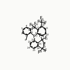 Cc1ccccc1P(c1cccc(C(F)(F)F)c1C(F)(F)F)c1cccc(C(F)(F)F)c1C(F)(F)F